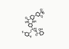 COc1cc(-c2ccc3c(c2)Nc2cc(C(C)(CCc4cc(F)ccc4F)CNC(=O)c4ccccc4O)ccc2NC3=O)ccc1[N+](=O)[O-]